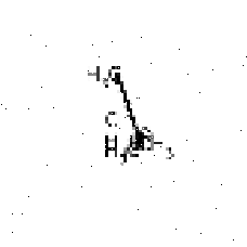 CCCCCCCCCCCCCCCC(=O)[N+](C)(C)CC.[Cl-]